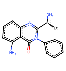 CC[C@H](N)c1nc2cccc(N)c2c(=O)n1-c1ccccc1